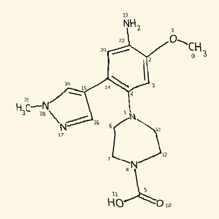 COc1cc(N2CCN(C(=O)O)CC2)c(-c2cnn(C)c2)cc1N